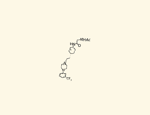 CC(=O)NCC(=O)N[C@H]1CC[C@H](CCN2CCN(c3cccc(C(F)(F)F)c3)CC2)CC1